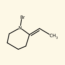 CC=C1CCCCN1Br